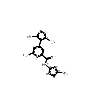 Cc1cc(-c2c(C)noc2C)cc(C(=O)Nc2nc(C)cs2)n1